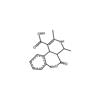 COC(=O)C1=C(C)NC(C)C(C(=O)OC)C1c1ccccc1C